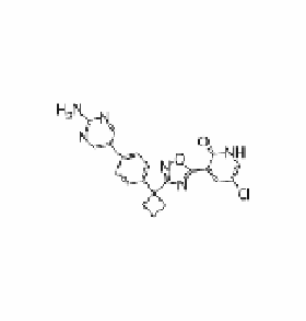 Nc1ncc(-c2ccc(C3(c4noc(-c5cc(Cl)c[nH]c5=O)n4)CCC3)cc2)cn1